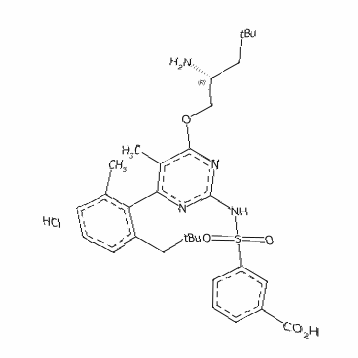 Cc1cccc(CC(C)(C)C)c1-c1nc(NS(=O)(=O)c2cccc(C(=O)O)c2)nc(OC[C@H](N)CC(C)(C)C)c1C.Cl